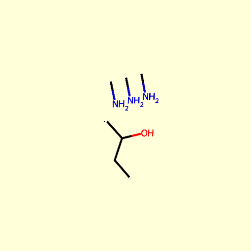 CN.CN.CN.[CH2]C(O)CC